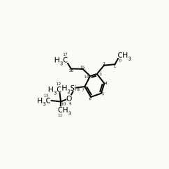 CCCc1cccc([SiH2]OC(C)(C)C)c1CCC